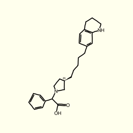 O=C(O)C(c1ccccc1)N1CC[C@@H](CCCCCc2ccc3c(c2)NCCC3)C1